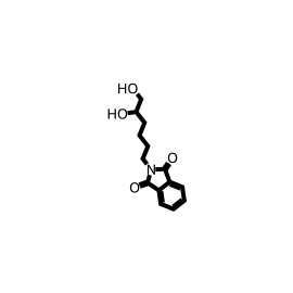 O=C1c2ccccc2C(=O)N1CCCCC(O)CO